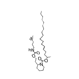 CCCCCCCCCCCCCCCCC(C)OC(=O)N1CCCCC1CCOC(=O)NCCCN(C)C